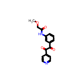 COCC(=O)Nc1cccc(C(=O)C(=O)c2ccncc2)c1